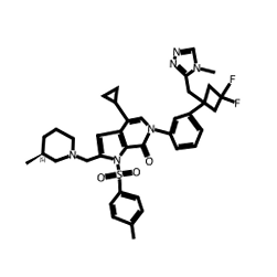 Cc1ccc(S(=O)(=O)n2c(CN3CCC[C@H](C)C3)cc3c(C4CC4)cn(-c4cccc(C5(Cc6nncn6C)CC(F)(F)C5)c4)c(=O)c32)cc1